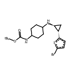 CC(C)(C)OC(=O)NC1CCC(N[C@H]2C[C@@H]2c2ccc(Br)s2)CC1